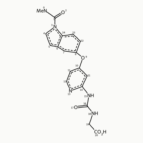 CNC(=O)n1ccc2cc(Oc3ccnc(NC(=O)NCC(=O)O)c3)ccc21